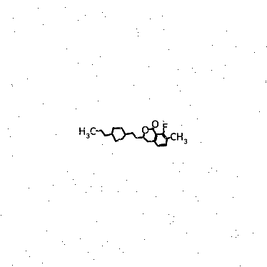 CCCC1CCC(CCC2Cc3ccc(C)c(F)c3C(=O)O2)CC1